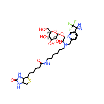 O=C(CCCCC1SCC2NC(=O)NC21)NCCCCCCN(Cc1ccc(C2(C(F)(F)F)N=N2)cn1)C(=O)CO[C@H]1O[C@H](CO)[C@@H](O)[C@H](O)[C@@H]1O